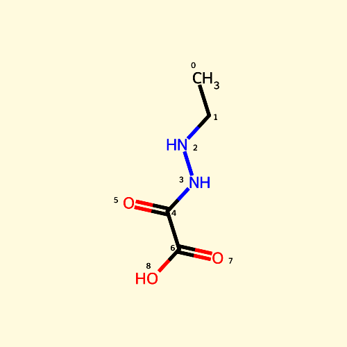 CCNNC(=O)C(=O)O